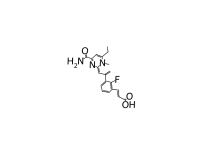 C=C(/C=C1/N=C(C(N)=O)C=C(CC)N1C)c1cccc(/C=C/C(=O)O)c1F